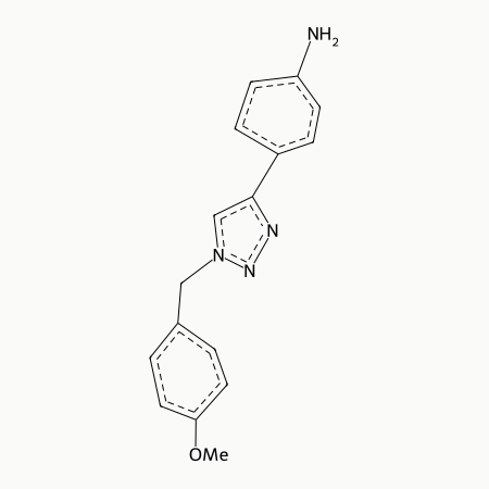 COc1ccc(Cn2cc(-c3ccc(N)cc3)nn2)cc1